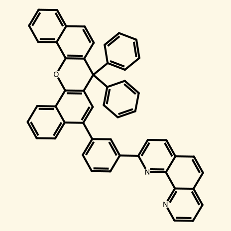 c1ccc(C2(c3ccccc3)c3ccc4ccccc4c3Oc3c2cc(-c2cccc(-c4ccc5ccc6cccnc6c5n4)c2)c2ccccc32)cc1